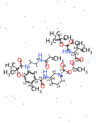 CCC(=O)NCCN1C(=O)C(C)(C)Oc2cc(C)c(C(=O)N[C@@H]3CCCN(C(=O)OC(C)OC(=O)[C@@H](NC(=O)OC(C)(C)C)C(C)C)C3)cc21